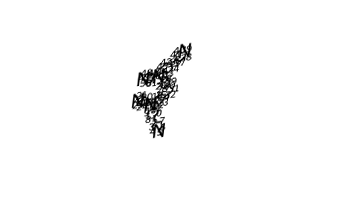 C1=C(c2ccncc2)CCc2c1c1cc3c(cc1n2-c1ccncc1)-c1cc2c(cc1CC3)c1cc(-c3ccncc3)ccc1n2-c1ccncc1